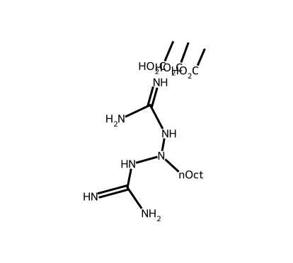 CC(=O)O.CC(=O)O.CC(=O)O.CCCCCCCCN(NC(=N)N)NC(=N)N